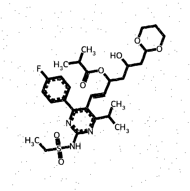 CCS(=O)(=O)Nc1nc(-c2ccc(F)cc2)c(C=CC(CC(O)CC2OCCCO2)OC(=O)C(C)C)c(C(C)C)n1